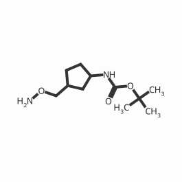 CC(C)(C)OC(=O)NC1CCC(CON)C1